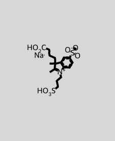 CC1=[N+](CCCS(=O)(=O)O)c2ccc(S(=O)(=O)[O-])cc2C1(C)CCCC(=O)O.[Na]